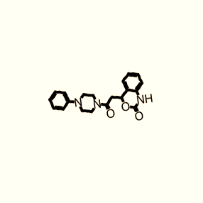 O=C1Nc2ccccc2C(CC(=O)N2CCN(c3ccccc3)CC2)O1